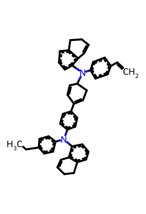 C=Cc1ccc(N(c2cccc3c2C=CCC3)C2C=CC(c3ccc(N(c4ccc(CC)cc4)c4cccc5c4C=CCC5)cc3)=CC2)cc1